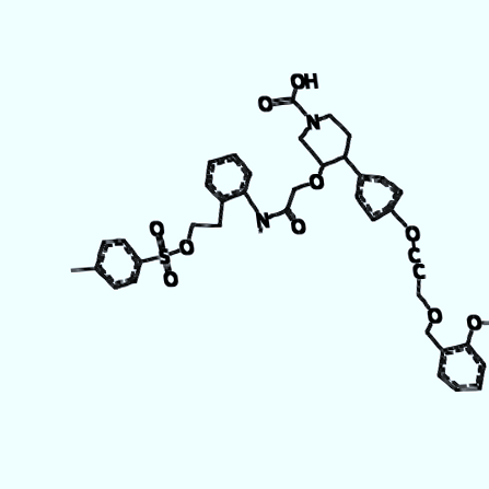 COc1ccccc1COCCCOc1ccc(C2CCN(C(=O)O)CC2OCC(=O)N(C)c2ccccc2CCOS(=O)(=O)c2ccc(C)cc2)cc1